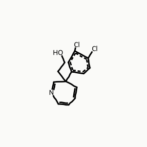 OCCC1(c2ccc(Cl)c(Cl)c2)C=CC=CN=C1